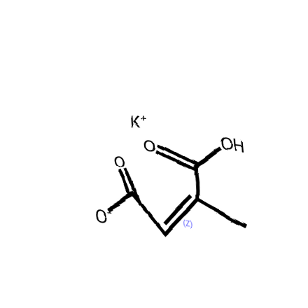 C/C(=C/C(=O)[O-])C(=O)O.[K+]